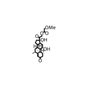 COCC(=O)OCC(=O)[C@@]1(O)CC[C@H]2[C@@H]3C[C@H](C)C4=CC(=O)CC[C@]4(C)[C@H]3[C@@H](O)C[C@@]21C